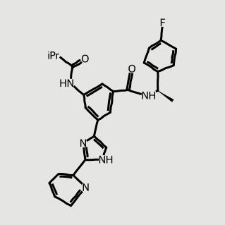 CC(C)C(=O)Nc1cc(C(=O)N[C@H](C)c2ccc(F)cc2)cc(-c2c[nH]c(-c3ccccn3)n2)c1